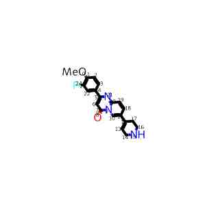 COc1ccc(-c2cc(=O)n3cc(C4=CCNCC4)ccc3n2)cc1F